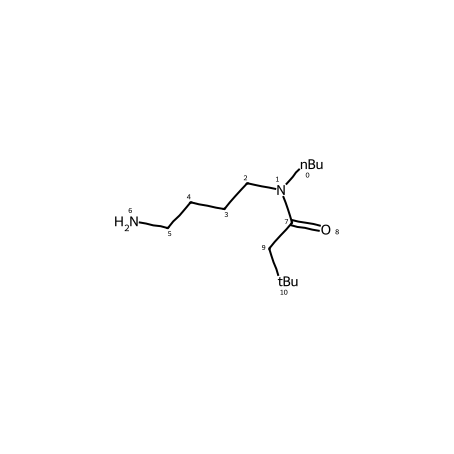 CCCCN(CCCCN)C(=O)CC(C)(C)C